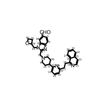 O=Cc1ccc2nc(CN3CCC(c4cccc(CCc5nccc6ccccc56)n4)CC3)n(CC3CCO3)c2c1